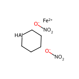 C1C[CH2][AlH][CH2]C1.O=[N+]([O-])[O-].O=[N+]([O-])[O-].[Fe+2]